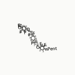 CCCCCc1ccc(OCCC(F)(F)C2CCC(C(F)(F)CCOc3ccc(OCC)c(F)c3F)CC2)c(F)c1F